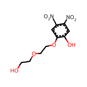 O=[N+]([O-])c1cc(O)c(OCCOCCO)cc1[N+](=O)[O-]